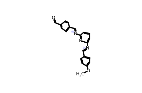 COc1ccc(/C=N/c2cccc(/N=C/c3ccc(C=O)cc3)n2)cc1